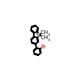 C[Si]1(C)c2ccccc2-c2ccc(-c3ccccc3Br)cc21